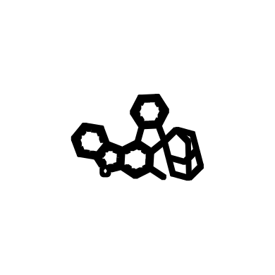 Cc1cc2oc3ccccc3c2c2c1C1(c3ccccc3-2)C2CC3CC(C2)CC1C3